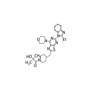 CCc1nc2ccccc2n1-c1nc(N2CCOCC2)c2nc(CC3CCN(C(=O)C(C)(C)O)CC3)sc2n1